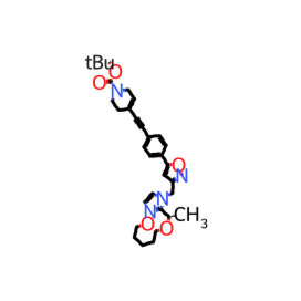 C[C@H](OC1CCCCO1)c1nccn1Cc1cc(-c2ccc(C#CC3=CCN(C(=O)OC(C)(C)C)CC3)cc2)on1